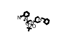 CN(C(=O)CN(C(=O)OC(C)(C)C)C1CCN(Cc2ccccc2)CC1)c1ccccc1C#N